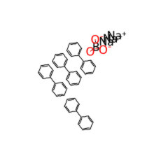 [Na+].[Na+].[Na+].[O-]B([O-])[O-].c1ccc(-c2ccccc2)cc1.c1ccc(-c2ccccc2)cc1.c1ccc(-c2ccccc2)cc1.c1ccc(-c2ccccc2)cc1